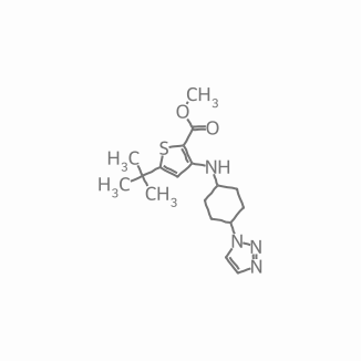 COC(=O)c1sc(C(C)(C)C)cc1NC1CCC(n2ccnn2)CC1